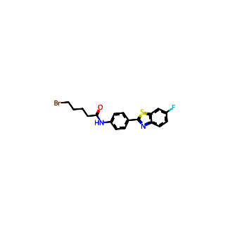 O=C(CCCCBr)Nc1ccc(-c2nc3ccc(F)cc3s2)cc1